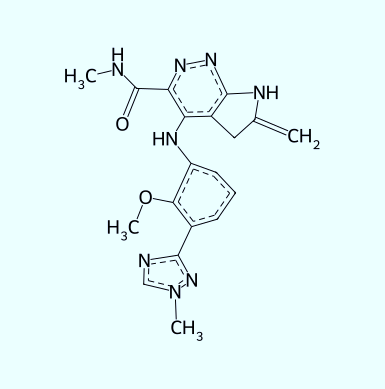 C=C1Cc2c(nnc(C(=O)NC)c2Nc2cccc(-c3ncn(C)n3)c2OC)N1